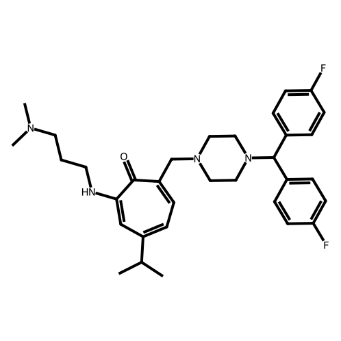 CC(C)c1ccc(CN2CCN(C(c3ccc(F)cc3)c3ccc(F)cc3)CC2)c(=O)c(NCCCN(C)C)c1